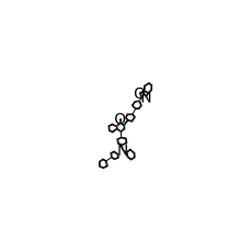 c1ccc(-c2ccc(N(c3ccccc3)c3ccc(-c4cc5c6ccc(-c7ccc(-c8nc9ccccc9o8)cc7)cc6oc5c5ccccc45)cc3)cc2)cc1